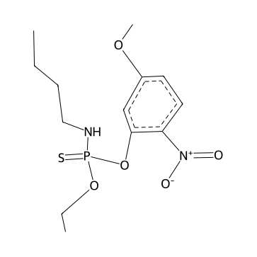 CCCCNP(=S)(OCC)Oc1cc(OC)ccc1[N+](=O)[O-]